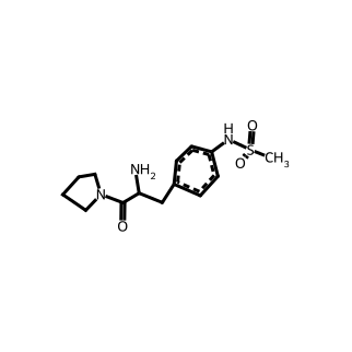 CS(=O)(=O)Nc1ccc(CC(N)C(=O)N2CCCC2)cc1